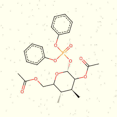 CC(=O)OCC1O[C@H](OP(=O)(Oc2ccccc2)Oc2ccccc2)C(OC(C)=O)[C@@H](C)[C@@H]1C